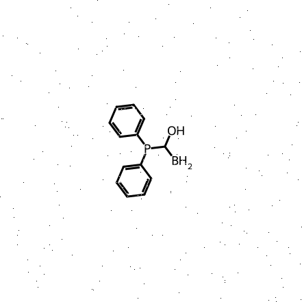 BC(O)P(c1ccccc1)c1ccccc1